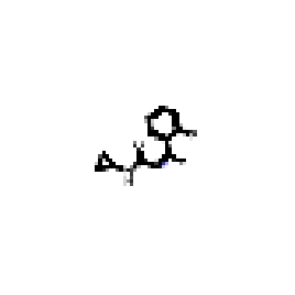 C/C(=C/C(=O)NC1CC1)c1ccccc1F